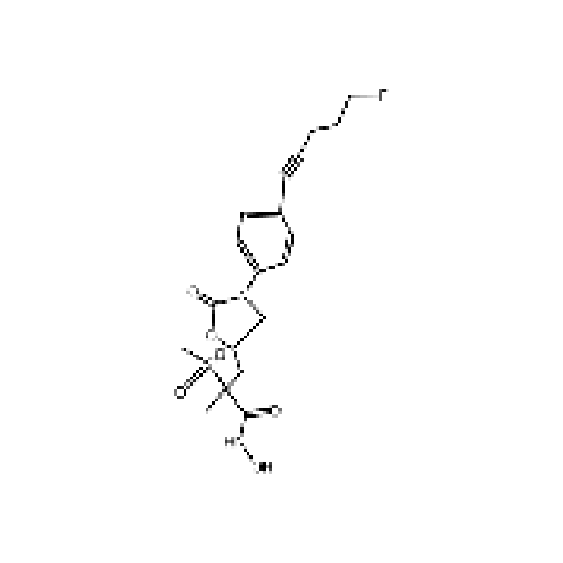 CC(CC1CN(c2ccc(C#CCCCF)cc2)C(=O)O1)(C(=O)NO)S(C)(=O)=O